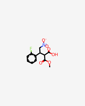 COC(=O)C(C(=O)O)C(C[N+](=O)[O-])c1ccccc1F